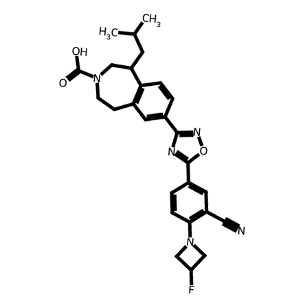 CC(C)CC1CN(C(=O)O)CCc2cc(-c3noc(-c4ccc(N5CC(F)C5)c(C#N)c4)n3)ccc21